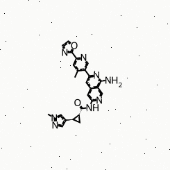 Cc1cc(-c2ncco2)ncc1-c1cc2cc(NC(=O)[C@@H]3C[C@H]3c3cnn(C)c3)ncc2c(N)n1